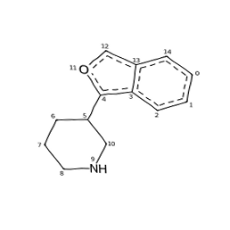 c1ccc2c(C3CCCNC3)occ2c1